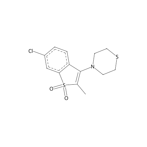 CC1=C(N2CCSCC2)c2ccc(Cl)cc2S1(=O)=O